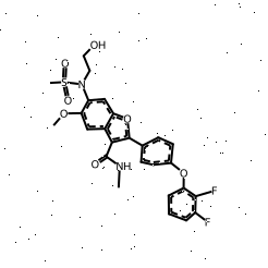 CNC(=O)c1c(-c2ccc(Oc3cccc(F)c3F)cc2)oc2cc(N(CCO)S(C)(=O)=O)c(OC)cc12